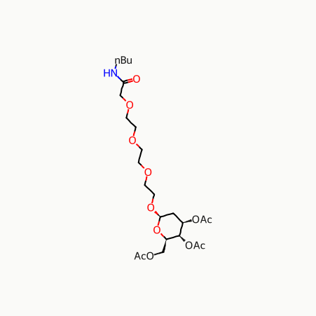 CCCCNC(=O)COCCOCCOCCO[C@H]1C[C@@H](OC(C)=O)[C@@H](OC(C)=O)[C@@H](COC(C)=O)O1